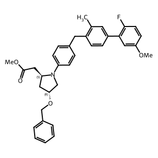 COC(=O)C[C@@H]1C[C@@H](OCc2ccccc2)CN1c1ccc(Cc2ccc(-c3cc(OC)ccc3F)cc2C)cc1